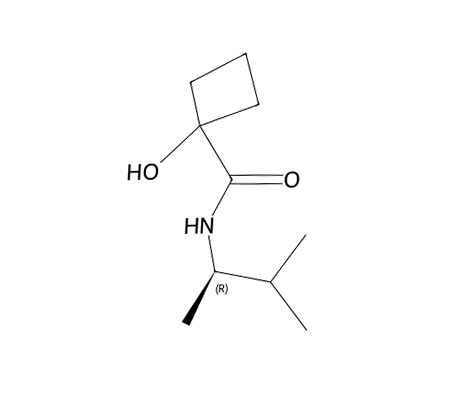 CC(C)[C@@H](C)NC(=O)C1(O)CCC1